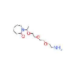 CC(OCCOCCOCCN)N1CCCCCC1=O